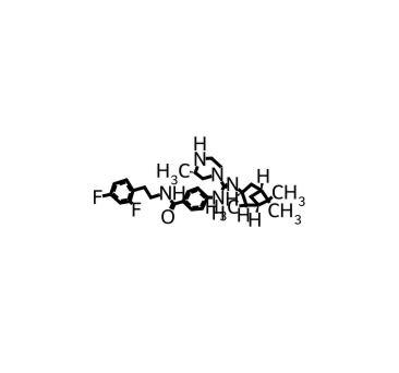 C[C@@H]1[C@@H](/N=C(\Nc2ccc(C(=O)NCCc3ccc(F)cc3F)cc2)N2CCN[C@@H](C)C2)C[C@H]2C[C@@H]1C2(C)C